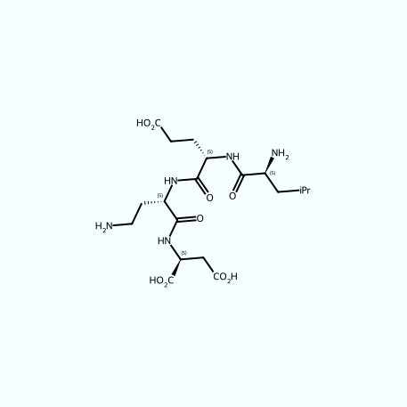 CC(C)C[C@H](N)C(=O)N[C@@H](CCC(=O)O)C(=O)N[C@@H](CCN)C(=O)N[C@@H](CC(=O)O)C(=O)O